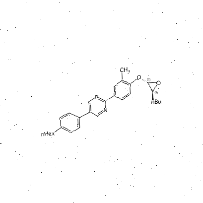 CCCCCCc1ccc(-c2cnc(-c3ccc(O[C@@H]4O[C@H]4CCCC)c(C)c3)nc2)cc1